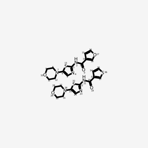 O=C(Nc1ncc(N2CCOCC2)s1)c1ccoc1.O=C(Nc1ncc(N2CCOCC2)s1)c1ccsc1